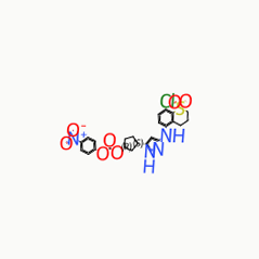 O=C(Oc1ccc([N+](=O)[O-])cc1)O[C@@H]1CC[C@H](c2cc(Nc3ccc(Cl)c4c3CCCS4(=O)=O)n[nH]2)C1